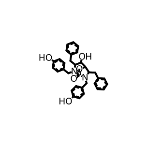 O=P12OC(C(O)C(Cc3ccccc3)N1Cc1ccc(O)cc1)C(Cc1ccccc1)N2Cc1ccc(O)cc1